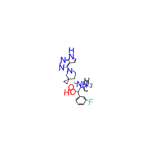 CC(NC(=O)[C@H]1CCN(c2ncnc3[nH]ccc23)CC12CC2)C(O)c1cccc(F)c1